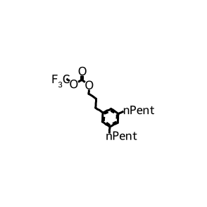 CCCCCc1cc(CCCCC)cc(CCCOC(=O)OC(F)(F)F)c1